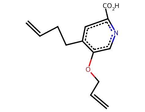 C=CCCc1cc(C(=O)O)ncc1OCC=C